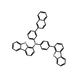 c1cc(-c2ccc3ccccc3c2)cc(N(c2ccc(-c3cccc4c3sc3ccccc34)cc2)c2cccc3c2oc2ccccc23)c1